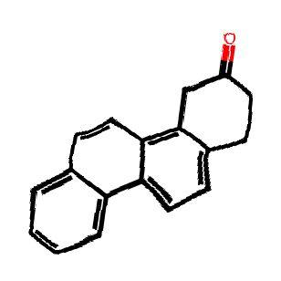 O=C1CCc2ccc3c(ccc4ccccc43)c2C1